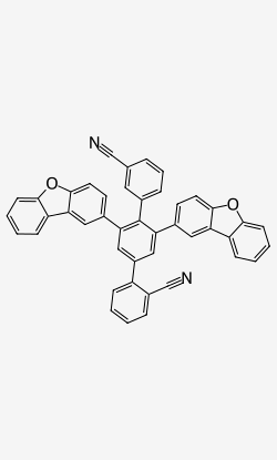 N#Cc1cccc(-c2c(-c3ccc4oc5ccccc5c4c3)cc(-c3ccccc3C#N)cc2-c2ccc3oc4ccccc4c3c2)c1